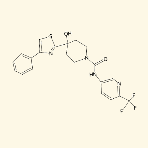 O=C(Nc1ccc(C(F)(F)F)nc1)N1CCC(O)(c2nc(-c3ccccc3)cs2)CC1